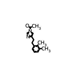 CC(=O)n1cnc(CCc2cccc(C)c2C)c1